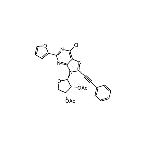 CC(=O)O[C@H]1[C@H](n2c(C#Cc3ccccc3)nc3c(Cl)nc(-c4ccco4)nc32)OC[C@H]1OC(C)=O